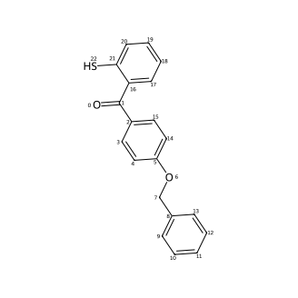 O=C(c1ccc(OCc2ccccc2)cc1)c1ccccc1S